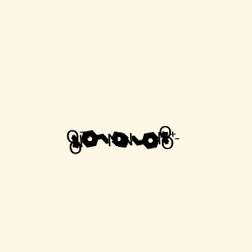 O=[N+]([O-])c1ccc(CCN2CC3CC2CN3CCc2ccc([N+](=O)[O-])cc2)cc1